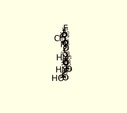 C[C@H](COc1ccc(-c2ccc(CF)cc2Cl)cn1)C[C@H](C)Nc1ccc(C(=O)NCCC(=O)O)cc1